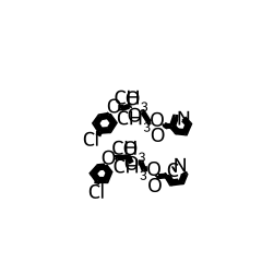 CC(C)(Oc1ccc(Cl)cc1)C(=O)OCCOC(=O)c1cccnc1.CC(C)(Oc1ccc(Cl)cc1)C(=O)OCCOC(=O)c1cccnc1